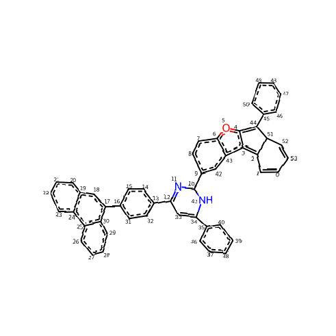 C1=CC2=c3c(oc4ccc(C5N=C(c6ccc(-c7cc8ccccc8c8ccccc78)cc6)C=C(c6ccccc6)N5)cc34)=C(c3ccccc3)C2C=C1